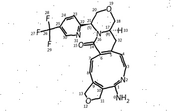 Nc1nccc2c(ccc3c1COC3)C(=O)N1[C@@H](COC[C@@H]1c1ccc(C(F)(F)F)cn1)C2